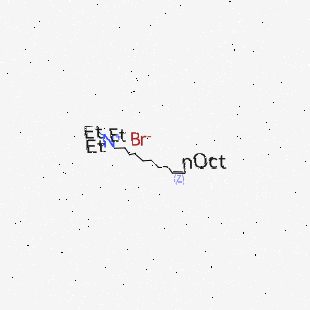 CCCCCCCC/C=C\CCCCCCCC[N+](CC)(CC)CC.[Br-]